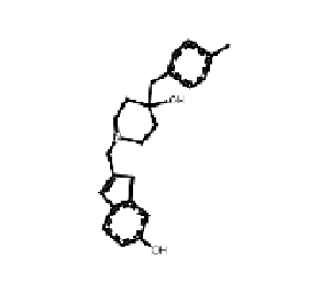 Cc1ccc(CC2(O)CCN(CC3=Cc4ccc(O)cc4C3)CC2)cc1